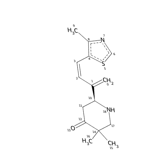 C=C(/C=C\c1scnc1C)[C@@H]1CC(=O)C(C)(C)CN1